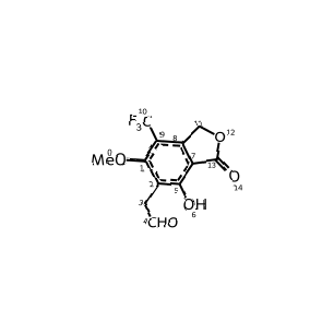 COc1c(CC=O)c(O)c2c(c1C(F)(F)F)COC2=O